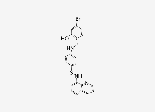 Oc1cc(Br)ccc1CNc1ccc(SNc2cccc3cccnc23)cc1